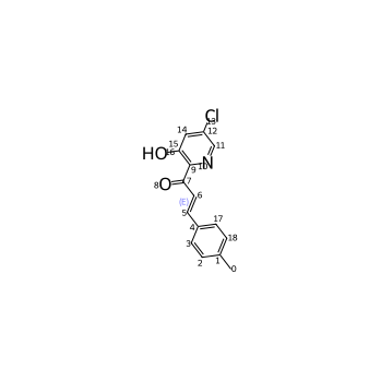 Cc1ccc(/C=C/C(=O)c2ncc(Cl)cc2O)cc1